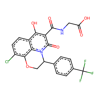 O=C(O)CNC(=O)c1c(O)c2ccc(Cl)c3c2n(c1=O)C(c1ccc(C(F)(F)F)cc1)CO3